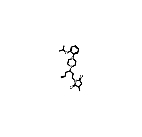 C=CCC(CCN1C(=O)CC(C)C1=O)N1CCN(c2ccccc2OC(C)C)CC1